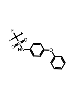 O=S(=O)(Nc1ccc(Oc2ccccc2)cc1)C(F)(F)F